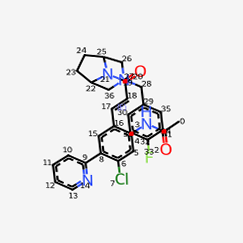 CC(=O)Nc1cc(Cl)c(-c2ccccn2)cc1/C=C/C(=O)N1C2CCC1CN(Cc1ccc(F)cc1)C2